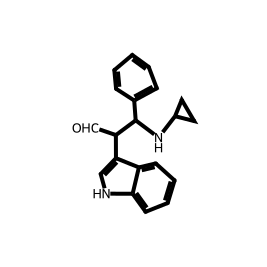 O=CC(c1c[nH]c2ccccc12)C(NC1CC1)c1ccccc1